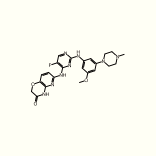 COc1cc(Nc2ncc(F)c(Nc3ccc4c(n3)NC(=O)CO4)n2)cc(N2CCN(C)CC2)c1